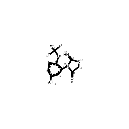 Cc1ccc(OC(F)(F)F)c(N2C(=N)SCC2=O)c1